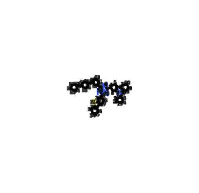 CN1C(c2ccc3c(c2)N(c2ccccc2)C2(C)C=CC=CC32)=NC(c2ccc3c(c2)sc2ccccc23)=NC1c1cccc(-c2ccc(-c3ccccc3)cc2)c1